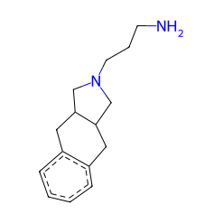 NCCCN1CC2Cc3ccccc3CC2C1